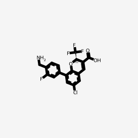 NCc1ccc(-c2cc(Cl)cc3c2O[C@H](C(F)(F)F)C(C(=O)O)=C3)cc1F